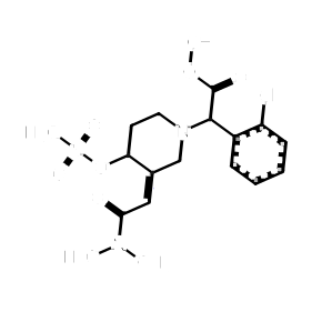 COC(=O)C(c1ccccc1Cl)N1CCC(OS(C)(=O)=O)/C(=C\C(=O)N(C)C)C1